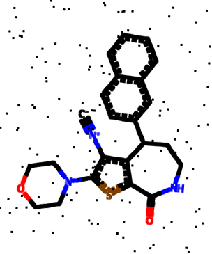 [C-]#[N+]c1c(N2CCOCC2)sc2c1C(c1ccc3ccccc3c1)CCNC2=O